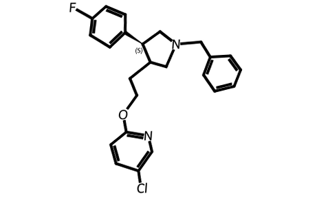 Fc1ccc([C@H]2CN(Cc3ccccc3)CC2CCOc2ccc(Cl)cn2)cc1